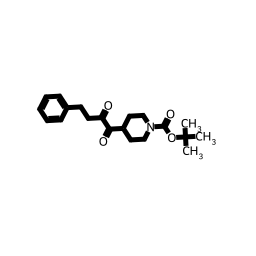 CC(C)(C)OC(=O)N1CCC(C(=O)C(=O)CCc2ccccc2)CC1